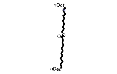 CCCCCCCC/C=C/CCCCCCCCOC(=O)CCCCCCCCCCCCCCCCCCCCC